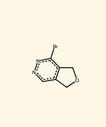 Brc1nncc2c1COC2